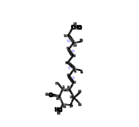 CC1=C(/C=C/C(C)=C/C=C/C(C)=C/C=O)C(C)(C)CC(O)C1=O